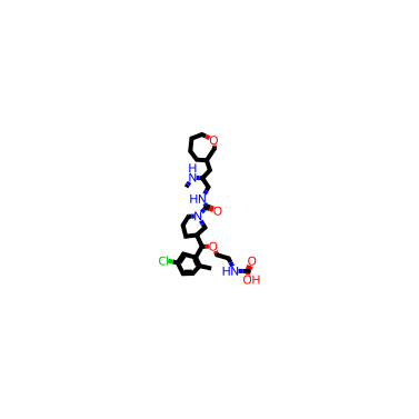 CNC(CNC(=O)N1CCCC(C(OCCNC(=O)O)c2cc(Cl)ccc2C)C1)CC1CCCCOC1